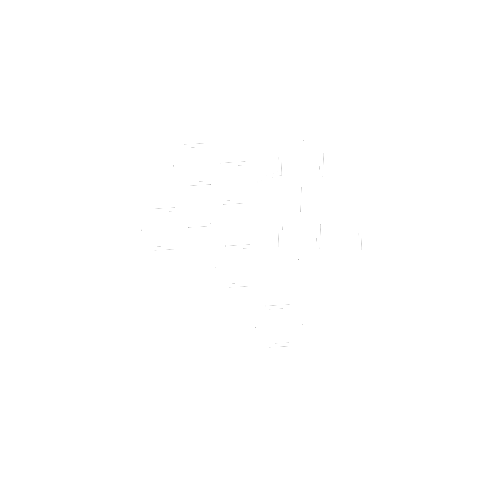 c1ccc(-c2ccc(N(c3ccccc3)c3cc4c(oc5cccc(-c6cccc7ccccc67)c54)c4ccccc34)cc2)cc1